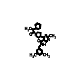 Cc1cc(C)cc(CNC(=O)c2cnc(C)nc2C2CCN(C(=O)C(C)c3ccccc3)CC2)c1